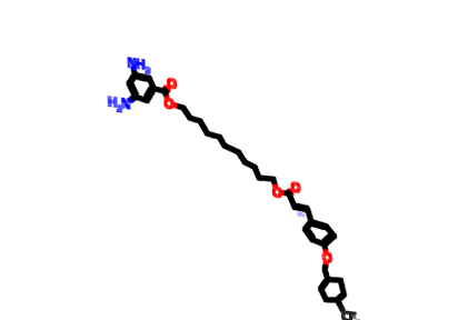 Nc1cc(N)cc(C(=O)OCCCCCCCCCCCOC(=O)/C=C/c2ccc(OCC3CCC(C(F)(F)F)CC3)cc2)c1